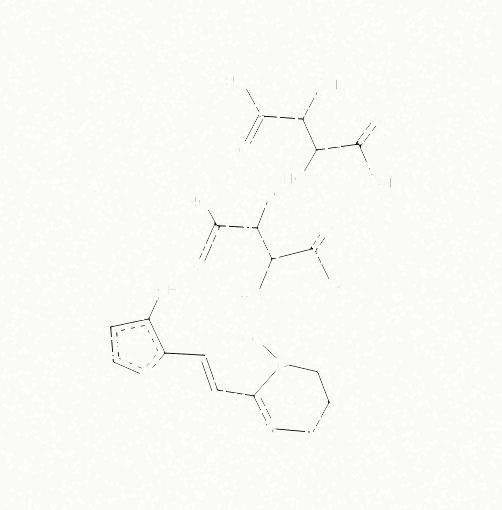 Cc1ccsc1/C=C/C1=NCCCN1C.O=C(O)C(O)C(O)C(=O)O.O=C(O)C(O)C(O)C(=O)O